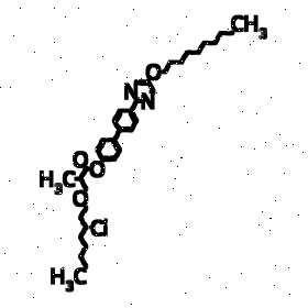 CCCCCCCCCCOc1cnc(-c2ccc(-c3ccc(OC(=O)C(C)COCC[C@H](Cl)CCCCC)cc3)cc2)nc1